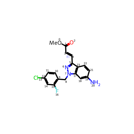 COC(=O)/C=C/c1nn(Cc2ccc(Cl)cc2F)c2cc(N)ccc12